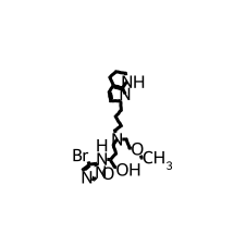 CCOCCN(CCCCc1ccc2c(n1)NCCC2)CCC(Nc1ncncc1Br)C(=O)O